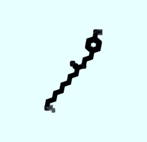 CCCCCCCCCC(=O)OCCc1ccc(O)cc1